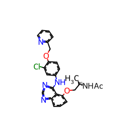 CC(=O)N[C@H](C)COc1cccc2ncnc(Nc3ccc(OCc4ccccn4)c(Cl)c3)c12